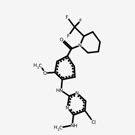 CNc1nc(Nc2ccc(C(=O)N3CCCCC3C(F)(F)F)cc2OC)ncc1Cl